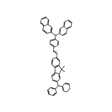 CC1(C)c2cc(/C=C/c3ccc(N(c4ccc5ccccc5c4)c4ccc5ccccc5c4)cc3)ccc2-c2ccc(N(C3=CCCC=C3)c3ccccc3)cc21